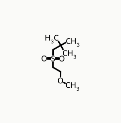 COCCS(=O)(=O)CC(C)(C)C